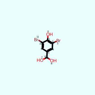 Oc1c(Br)cc(C(O)O)cc1Br